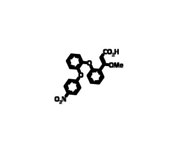 CO/C(=C\C(=O)O)c1ccccc1Oc1ccccc1Oc1ccc([N+](=O)[O-])cc1